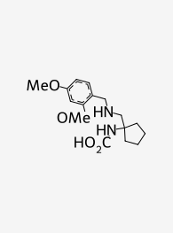 COc1ccc(CNCC2(NC(=O)O)CCCC2)c(OC)c1